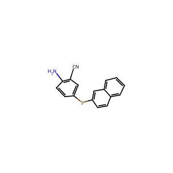 N#Cc1cc(Sc2ccc3ccccc3c2)ccc1N